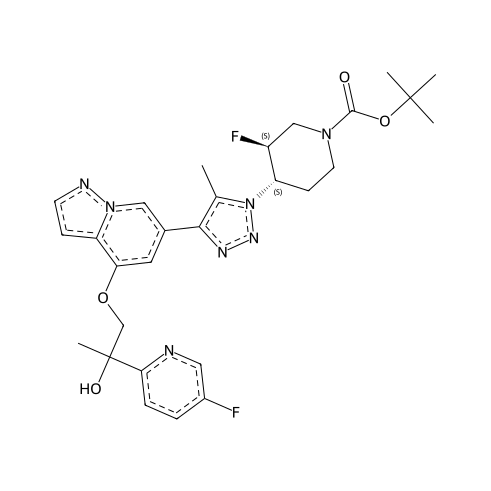 Cc1c(-c2cc(OCC(C)(O)c3ccc(F)cn3)c3ccnn3c2)nnn1[C@H]1CCN(C(=O)OC(C)(C)C)C[C@@H]1F